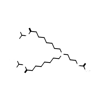 C=C(NC)NCCCN(CCCCCCCC(=O)OC(CCC)CCCCCCCC)CCCCCCCC(=O)OC(CCCCCCCC)CCCCCCCC